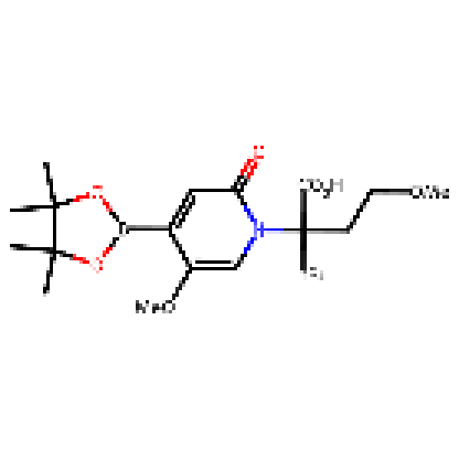 CCCCC(CCOC)(C(=O)O)n1cc(OC)c(B2OC(C)(C)C(C)(C)O2)cc1=O